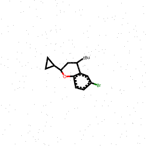 CC(C)(C)C1CC(C2CC2)Oc2ccc(Br)cc21